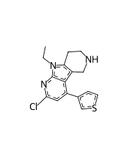 CCn1c2c(c3c(-c4ccsc4)cc(Cl)nc31)CNCC2